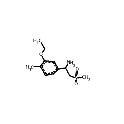 CCOc1cc(C(N)CS(C)(=O)=O)ccc1C